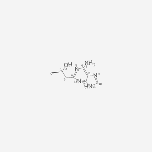 C[C@@H](O)Cc1nc(N)c2nc[nH]c2n1